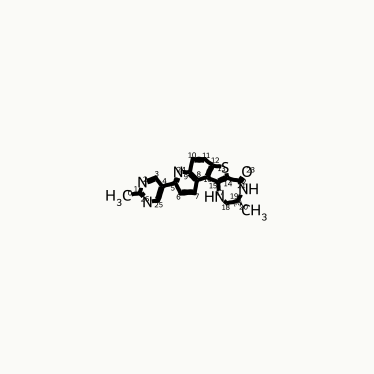 Cc1ncc(-c2ccc3c(ccc4sc5c(c43)NC[C@@H](C)NC5=O)n2)cn1